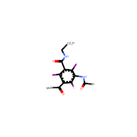 CCC(=O)Nc1c(I)c(C(=O)NC)c(I)c(C(=O)NCC(=O)O)c1I